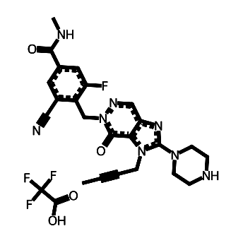 CC#CCn1c(N2CCNCC2)nc2cnn(Cc3c(F)cc(C(=O)NC)cc3C#N)c(=O)c21.O=C(O)C(F)(F)F